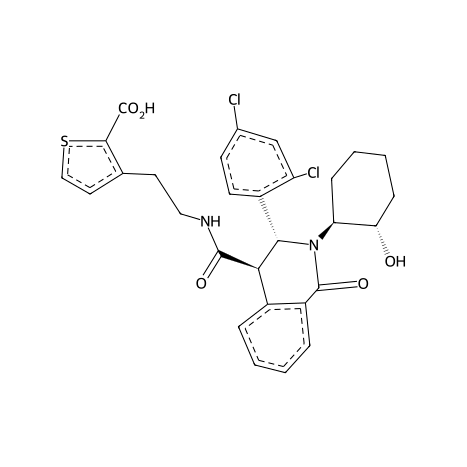 O=C(O)c1sccc1CCNC(=O)[C@@H]1c2ccccc2C(=O)N([C@H]2CCCC[C@@H]2O)[C@H]1c1ccc(Cl)cc1Cl